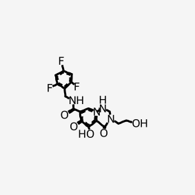 O=C(NCc1c(F)cc(F)cc1F)c1cn2c(c(O)c1=O)C(=O)N(CCO)CN2